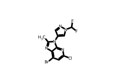 Cc1nc2c(Br)cc(Cl)nc2n1-c1cnn(C(F)F)c1